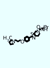 CC(C)NC(=O)N1CCc2nc(-c3ccc(OCCCN4CCCC4C)cc3)sc2C1